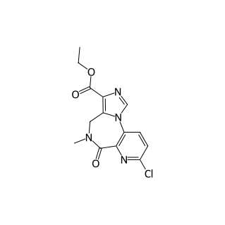 CCOC(=O)c1ncn2c1CN(C)C(=O)c1nc(Cl)ccc1-2